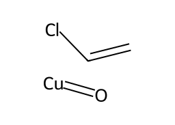 C=CCl.[O]=[Cu]